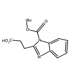 CC(C)(C)OC(=O)n1c(CCC(=O)O)nc2ccccc21